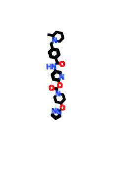 CC1CCCCN1Cc1ccc(C(=O)Nc2ccc(OC(=O)N3CCC(On4cccn4)CC3)nc2)cc1